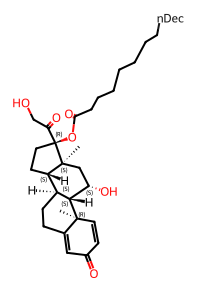 CCCCCCCCCCCCCCCCCC(=O)O[C@]1(C(=O)CO)CC[C@H]2[C@@H]3CCC4=CC(=O)C=C[C@]4(C)[C@H]3[C@@H](O)C[C@@]21C